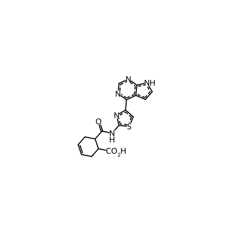 O=C(O)C1CC=CCC1C(=O)Nc1nc(-c2ncnc3[nH]ccc23)cs1